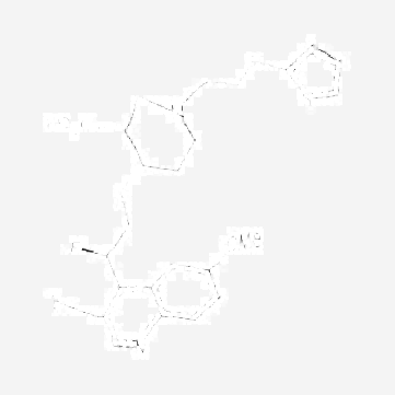 COc1ccc2ncc(F)c([C@@H](F)CC[C@H]3CCN(CCSc4cccs4)C[C@H]3C(=O)O)c2c1